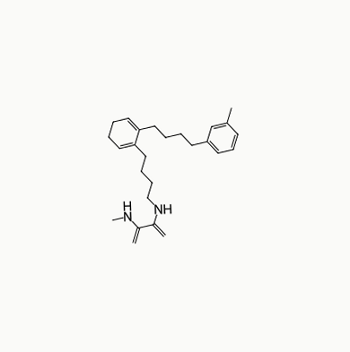 C=C(NC)C(=C)NCCCCC1=CCCC=C1CCCCc1cccc(C)c1